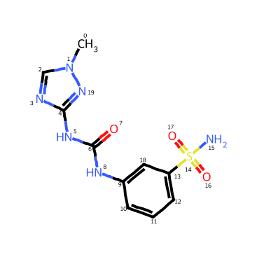 Cn1cnc(NC(=O)Nc2cccc(S(N)(=O)=O)c2)n1